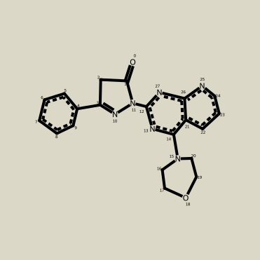 O=C1CC(c2ccccc2)=NN1c1nc(N2CCOCC2)c2cccnc2n1